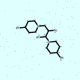 CC(=O)C(CN1CCC(C(C)C)CC1)C(C(C)C)N1CCC(C(C)C)CC1